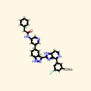 COc1cc(F)cc(-c2nccc3[nH]c(-c4n[nH]c5ccc(-c6cncc(NC(=O)Cc7ccccc7)c6)cc45)nc23)c1